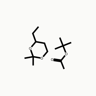 CC(=O)OC(C)(C)C.CCC1CCOC(C)(C)O1